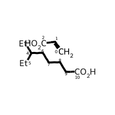 C=CC(=O)O.CCC(CC)CCCCC(=O)O